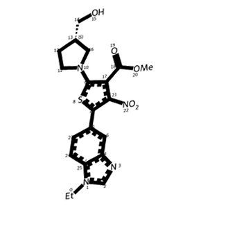 CCn1cnc2cc(-c3sc(N4CC[C@H](CO)C4)c(C(=O)OC)c3[N+](=O)[O-])ccc21